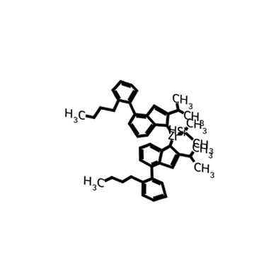 CCCCc1ccccc1-c1cccc2c1C=C(C(C)C)[CH]2[Zr]([CH]1C(C(C)C)=Cc2c(-c3ccccc3CCCC)cccc21)[SiH](C)C